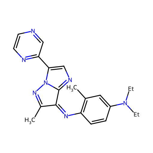 CCN(CC)c1ccc(/N=C2/C(C)=Nn3c(-c4cnccn4)cnc32)c(C)c1